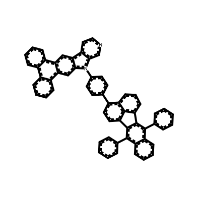 c1ccc(-c2c3c(c(-c4ccccc4)c4ccccc24)-c2ccc(-c4ccc(-n5c6cnccc6c6cc7c8ccccc8c8ccccc8c7cc65)cc4)c4cccc-3c24)cc1